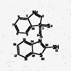 S=S1(=S)C=Nc2ccccc21.Sc1nc2ccccc2s1